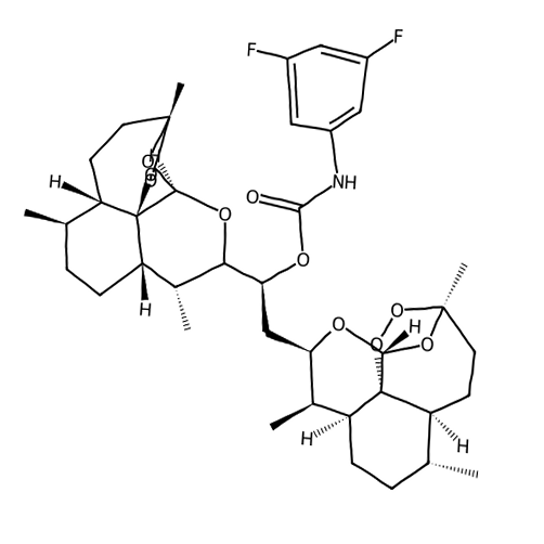 C[C@H]1[C@@H](C[C@H](OC(=O)Nc2cc(F)cc(F)c2)C2O[C@@H]3O[C@]4(C)CC[C@H]5[C@H](C)CC[C@@H]([C@H]2C)[C@@]35OO4)O[C@@H]2O[C@]3(C)CC[C@H]4[C@H](C)CC[C@@H]1[C@@]24OO3